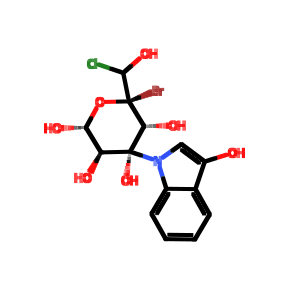 Oc1cn([C@]2(O)[C@@H](O)[C@@](Br)(C(O)Cl)O[C@@H](O)[C@@H]2O)c2ccccc12